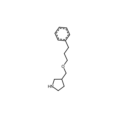 c1ccc(CCCOCC2CCNC2)cc1